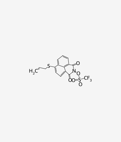 C=CCSc1ccc2c3c(cccc13)C(=O)N(OS(=O)(=O)C(F)(F)F)C2=O